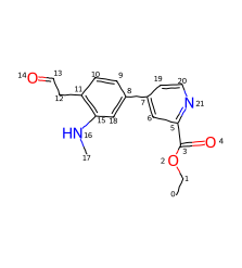 CCOC(=O)c1cc(-c2ccc(CC=O)c(NC)c2)ccn1